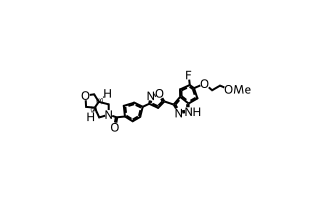 COCCOc1cc2[nH]nc(-c3cc(-c4ccc(C(=O)N5C[C@H]6COC[C@H]6C5)cc4)no3)c2cc1F